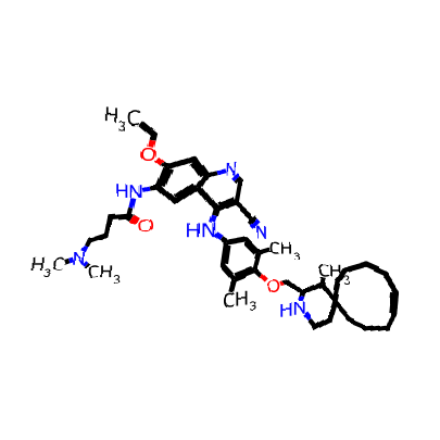 CCOc1cc2ncc(C#N)c(Nc3cc(C)c(OCC4NCCC5(CCC/C=C\CCCC5)C4C)c(C)c3)c2cc1NC(=O)CCCN(C)C